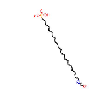 O=C=NCCCCCCCCCCCCCCCCCCCCCCP(=O)(O)O